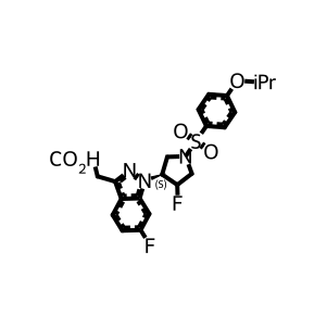 CC(C)Oc1ccc(S(=O)(=O)N2CC(F)[C@@H](n3nc(CC(=O)O)c4ccc(F)cc43)C2)cc1